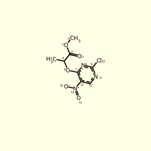 COC(=O)C(C)Oc1nc(Cl)ncc1[N+](=O)[O-]